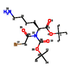 CC(C)(C)OC(=O)[C@H](CCCCN)N(C(=O)CBr)C(=O)OC(C)(C)C